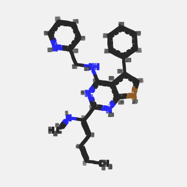 C=N/C(=C\C=C/C)c1nc(NCc2ccccn2)c2c(-c3ccccc3)csc2n1